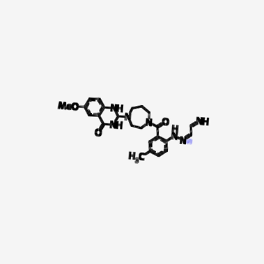 COc1ccc2c(c1)C(=O)NC(N1CCCN(C(=O)c3cc(C)ccc3N/N=C\C=N)CC1)N2